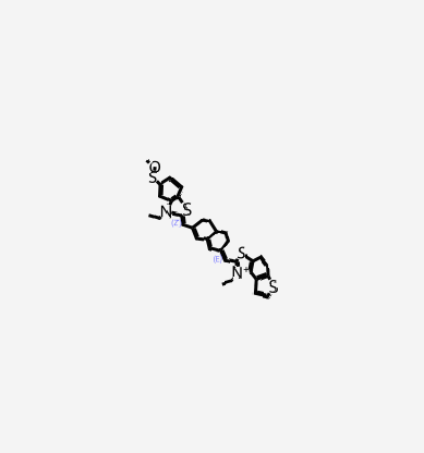 CCN1/C(=C/C2=CC3=C/C(=C/c4sc5ccc6sccc6c5[n+]4CC)CCC3CC2)Sc2ccc(SOC)cc21